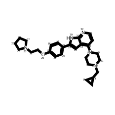 c1cc(N2CCN(CC3CC3)CC2)c2cc(-c3ccc(OCCN4CCCC4)cc3)[nH]c2n1